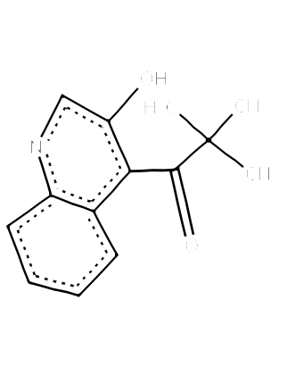 CC(C)(C)C(=O)c1c(O)cnc2ccccc12